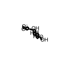 C[C@]12CC[C@](O)(C#Cc3ccc([N+](=O)[O-])cc3)C[C@H]1CC[C@@H]1[C@@H]2CC[C@]2(C)[C@@H](C(=O)CO)CC[C@@H]12